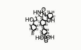 O=C1N[C@@H](CCC(O)c2ccc(F)cc2)[C@@H](c2ccc(-c3ccc(P(=O)(O)O)cc3)cc2O)N1c1ccccc1